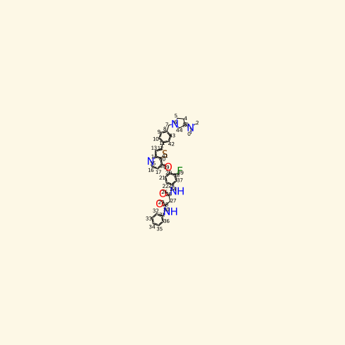 CN(C)[C@H]1CCN(Cc2ccc(-c3cc4nccc(Oc5ccc(NC(=O)CC(=O)Nc6ccccc6)cc5F)c4s3)cc2)C1